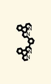 c1cc(-c2cnc3c(c2)c2ccccc2c2cccnc23)cc(-c2ccc3c4ccccc4c4cccnc4c3n2)c1